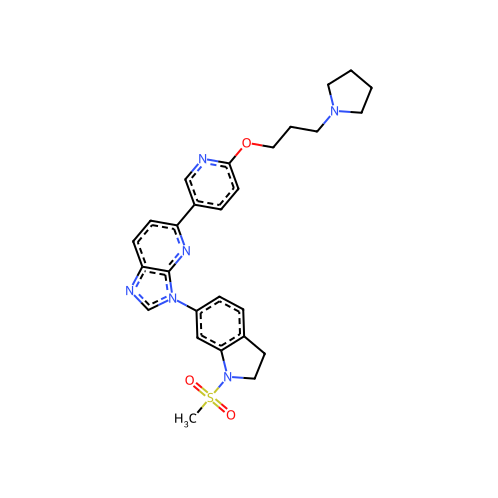 CS(=O)(=O)N1CCc2ccc(-n3cnc4ccc(-c5ccc(OCCCN6CCCC6)nc5)nc43)cc21